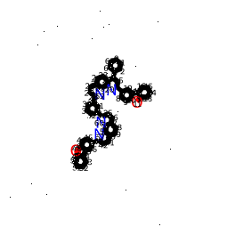 c1ccc(-c2cc(-c3ccc4oc5ccccc5c4c3)nc3c2ccc2ccc(-c4cccc(-c5ccc6ccc7ccc(-c8ccc9oc%10ccccc%10c9c8)nc7c6n5)c4)nc23)cc1